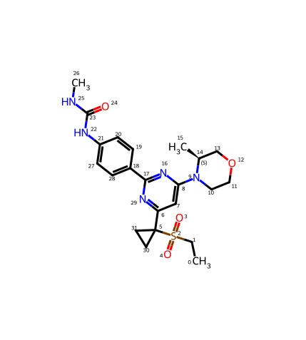 CCS(=O)(=O)C1(c2cc(N3CCOC[C@@H]3C)nc(-c3ccc(NC(=O)NC)cc3)n2)CC1